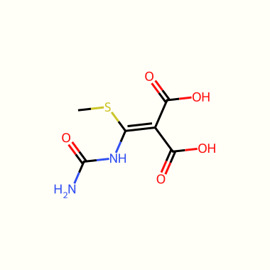 CSC(NC(N)=O)=C(C(=O)O)C(=O)O